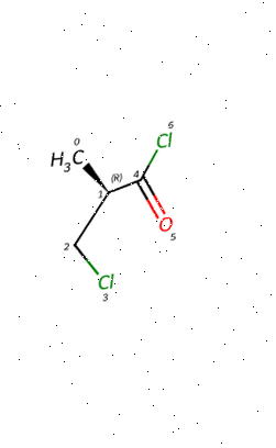 C[C@H](CCl)C(=O)Cl